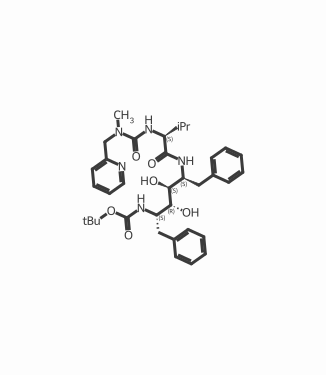 CC(C)[C@H](NC(=O)N(C)Cc1ccccn1)C(=O)N[C@@H](Cc1ccccc1)[C@H](O)[C@H](O)[C@H](Cc1ccccc1)NC(=O)OC(C)(C)C